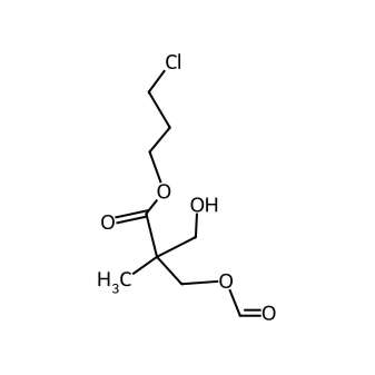 CC(CO)(COC=O)C(=O)OCCCCl